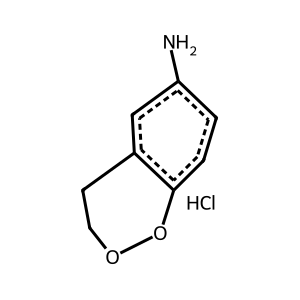 Cl.Nc1ccc2c(c1)CCOO2